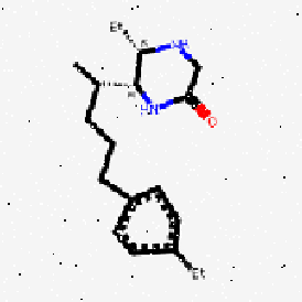 CCc1ccc(CCCC(C)[C@H]2NC(=O)CN[C@H]2CC)cc1